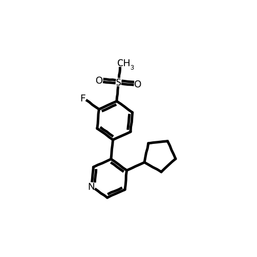 CS(=O)(=O)c1ccc(-c2cnccc2C2CCCC2)cc1F